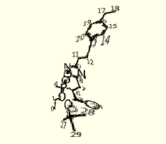 CCOP(C)(=O)C(Cc1nc(CCc2ccc(CC)cc2)no1)C(=O)OC(C)(C)C